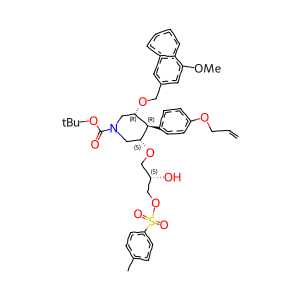 C=CCOc1ccc([C@@H]2[C@@H](OCc3cc(OC)c4ccccc4c3)CN(C(=O)OC(C)(C)C)C[C@H]2OC[C@H](O)COS(=O)(=O)c2ccc(C)cc2)cc1